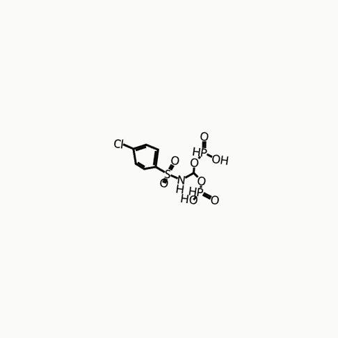 O=[PH](O)OC(NS(=O)(=O)c1ccc(Cl)cc1)O[PH](=O)O